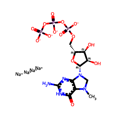 CN1CN([C@@H]2O[C@H](COP(=O)([O-])OP(=O)([O-])OP(=O)([O-])[O-])[C@@H](O)[C@H]2O)c2nc(N)[nH]c(=O)c21.[Na+].[Na+].[Na+].[Na+]